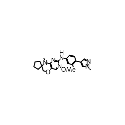 COc1cc(Nc2ncc3c(n2)N(C)C2(CCCC2)CO3)ccc1-c1cnn(C)c1